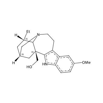 CC[C@H]1C[C@@H]2CN3CCc4c([nH]c5ccc(OC)cc45)[C@](CO)(C2)C13